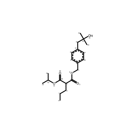 CCCC(C(=O)OCc1ccc(CC(C)(C)O)cc1)C(=O)OC(C)C